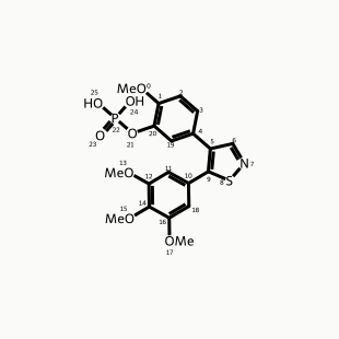 COc1ccc(-c2cnsc2-c2cc(OC)c(OC)c(OC)c2)cc1OP(=O)(O)O